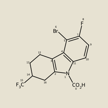 O=C(O)n1c2c(c3c(Br)c(F)ccc31)CCC(C(F)(F)F)C2